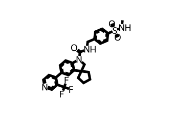 CNS(=O)(=O)c1ccc(CNC(=O)N2CC3(CCCC3)c3cc(-c4ccncc4C(F)(F)F)ccc32)cc1